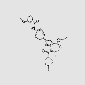 CCOC(=O)c1cn(-c2ccc(NC(=O)c3cccc(OC)c3)cc2)nc1N(C(=O)C1CCC(C)CC1)C(C)C